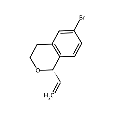 C=C[C@@H]1OCCc2cc(Br)ccc21